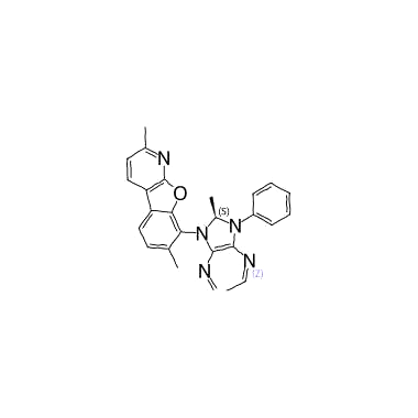 C=NC1=C(/N=C\C)N(c2ccccc2)[C@H](C)N1c1c(C)ccc2c1oc1nc(C)ccc12